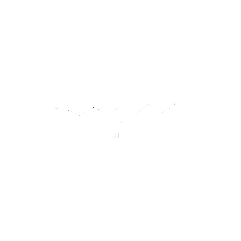 CCC[O][Ti][O]CCC.F.F